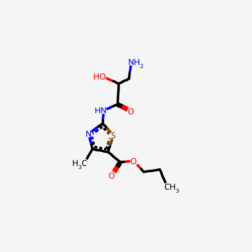 CCCOC(=O)c1sc(NC(=O)C(O)CN)nc1C